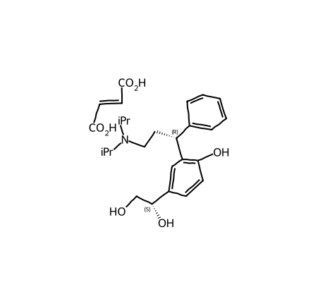 CC(C)N(CC[C@H](c1ccccc1)c1cc([C@H](O)CO)ccc1O)C(C)C.O=C(O)C=CC(=O)O